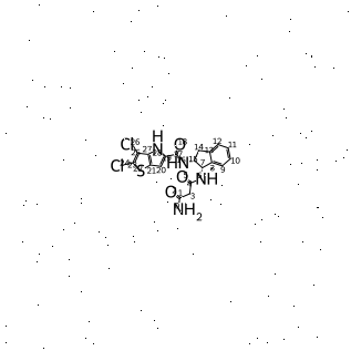 NC(=O)CC(=O)N[C@H]1c2ccccc2C[C@H]1NC(=O)c1cc2sc(Cl)c(Cl)c2[nH]1